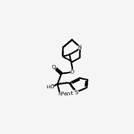 CCCCCC(O)(C(=O)OC1CN2CCC1CC2)c1cccs1